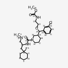 CNCC(CC1(F)CCCCC1)NC(=O)N1CCCC(C(OCCNC(=O)OC)c2cccc(Cl)c2)C1